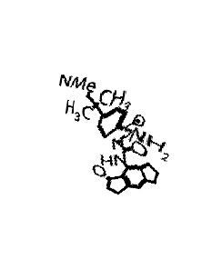 CNCC(C)(C)c1ccc(S(N)(=O)=NC(=O)Nc2c3c(cc4c2C(=O)CC4)CCC3)cc1